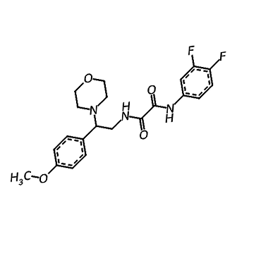 COc1ccc(C(CNC(=O)C(=O)Nc2ccc(F)c(F)c2)N2CCOCC2)cc1